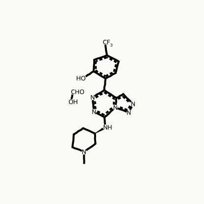 CN1CCC[C@@H](Nc2nnc(-c3ccc(C(F)(F)F)cc3O)c3cnnn23)C1.O=CO